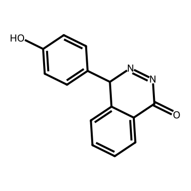 O=C1N=NC(c2ccc(O)cc2)c2ccccc21